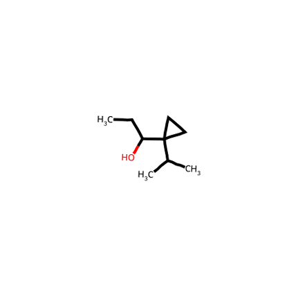 CCC(O)C1(C(C)C)CC1